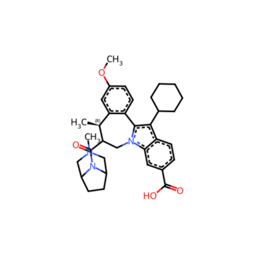 COc1ccc2c(c1)[C@H](C)C(C(=O)N1C3CCC1CN(C)C3)Cn1c-2c(C2CCCCC2)c2ccc(C(=O)O)cc21